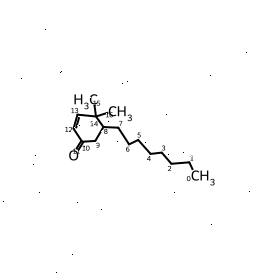 CCCCCCCCC1CC(=O)C=CC1(C)C